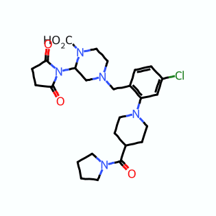 O=C(C1CCN(c2cc(Cl)ccc2CN2CCN(C(=O)O)C(N3C(=O)CCC3=O)C2)CC1)N1CCCC1